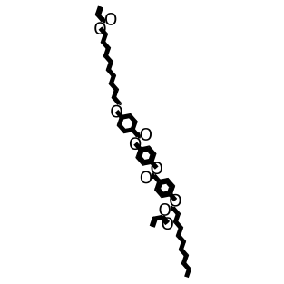 C=CC(=O)OCCCCCCCCCCCOC1CCC(C(=O)Oc2ccc(OC(=O)c3ccc(OC(CCCCCCCCCC)OC(=O)C=C)cc3)cc2)CC1